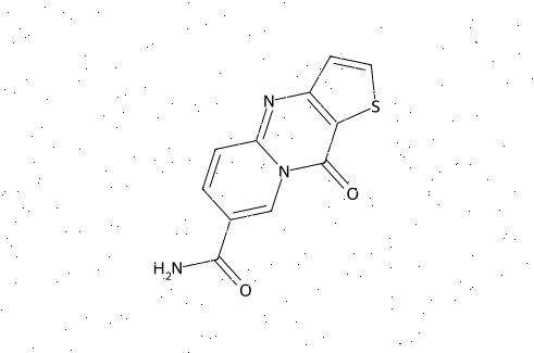 NC(=O)c1ccc2nc3ccsc3c(=O)n2c1